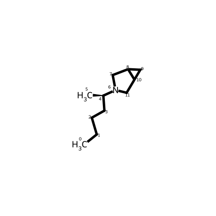 CCCC[C@@H](C)N1CC2CC2C1